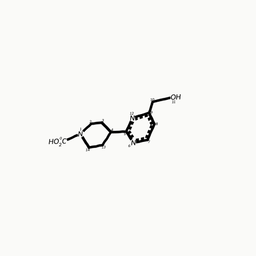 O=C(O)N1CCC(c2nccc(CO)n2)CC1